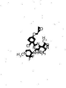 Cc1noc(C)c1-c1nc(-c2cc(OC[C@H]3CO3)ccc2Cl)nc(NC2CCN(C)CC2(F)F)c1C